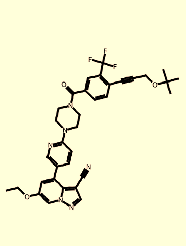 CCOc1cc(-c2ccc(N3CCN(C(=O)c4ccc(C#CCOC(C)(C)C)c(C(F)(F)F)c4)CC3)nc2)c2c(C#N)cnn2c1